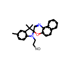 Cc1ccc2c(c1)C(C)(C)C1(C=Nc3c(ccc4ccccc34)O1)N2CCN=O